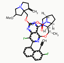 C#Cc1c(F)ccc2cccc(-c3nc4c5c(nc(OCC67CC(OC)CN6CCC7=C)nc5c3F)N3C[C@H]5CC[C@@H]([C@H]3[C@H](C)O4)N5C(=O)OC(C)(C)C)c12